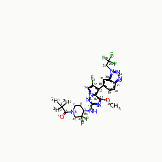 [2H]C([2H])([2H])C(=O)N1CC[C@@H](Nc2nc(OC)c3c(-c4ccc5nnn(CC(F)(F)F)c5c4)c(F)cn3n2)C(F)(F)C1